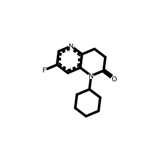 O=C1CCc2ncc(F)cc2N1C1CCCCC1